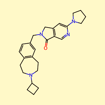 O=C1c2cnc(N3CCCC3)cc2CN1Cc1ccc2c(c1)CCN(C1CCC1)CC2